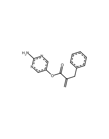 C=C(Cc1ccccc1)C(=O)Oc1cnc(N)nc1